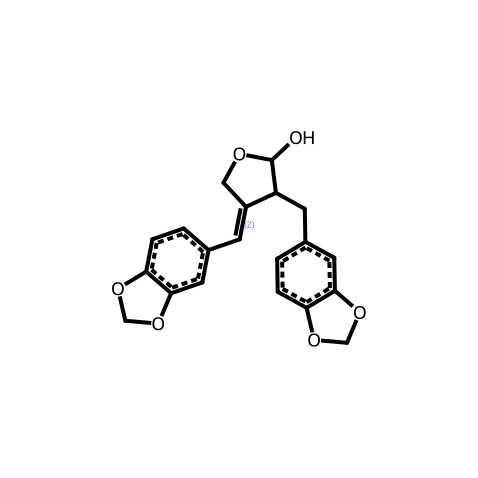 OC1OC/C(=C\c2ccc3c(c2)OCO3)C1Cc1ccc2c(c1)OCO2